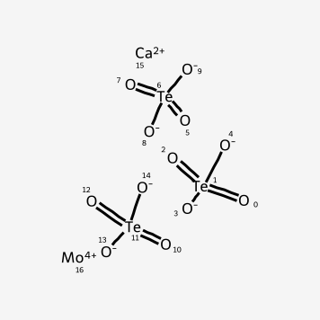 O=[Te](=O)([O-])[O-].O=[Te](=O)([O-])[O-].O=[Te](=O)([O-])[O-].[Ca+2].[Mo+4]